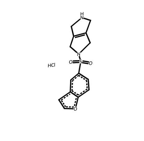 Cl.O=S(=O)(c1ccc2occc2c1)N1CC2=C(CNC2)C1